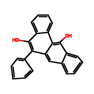 Oc1c(-c2ccccc2)c2cc3ccccc3c(O)c2c2ccccc12